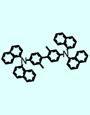 Cc1cc(N(c2cccc3ccccc23)c2cccc3ccccc23)ccc1-c1ccc(N(c2cccc3ccccc23)c2cccc3ccccc23)cc1C